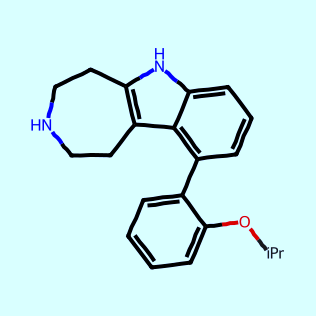 CC(C)Oc1ccccc1-c1cccc2[nH]c3c(c12)CCNCC3